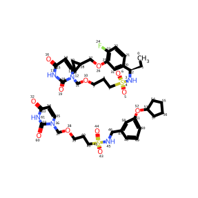 CC[C@@H](NS(=O)(=O)CCCOCn1ccc(=O)[nH]c1=O)c1ccc(F)c(OCC2CC2)c1.O=c1ccn(COCCCS(=O)(=O)NCc2cccc(OC3CCCC3)c2)c(=O)[nH]1